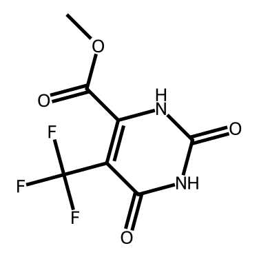 COC(=O)c1[nH]c(=O)[nH]c(=O)c1C(F)(F)F